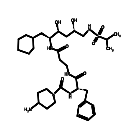 CC(C)S(=O)(=O)NC[C@@H](O)C[C@H](O)[C@H](CC1CCCCC1)NC(=O)CCNC(=O)[C@H](Cc1ccccc1)NC(=O)N1CCC(N)CC1